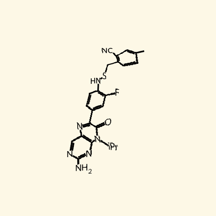 Cc1ccc(CSNc2ccc(-c3nc4cnc(N)nc4n(C(C)C)c3=O)cc2F)c(C#N)c1